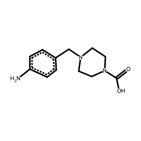 Nc1ccc(CN2CCN(C(=O)O)CC2)cc1